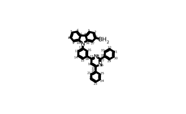 Bc1ccc2c3ccccc3n(-c3cccc(-c4cc(-c5ccccc5)nc(-c5ccccc5)n4)c3)c2c1